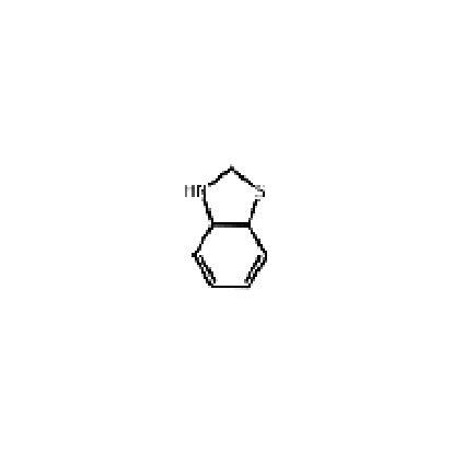 [CH]1NC2C=CC=CC2S1